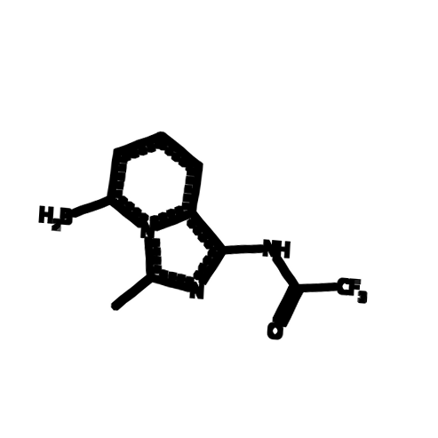 Bc1cccc2c(NC(=O)C(F)(F)F)nc(C)n12